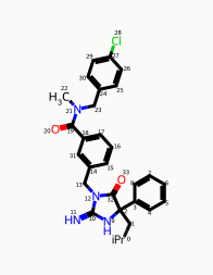 CC(C)CC1(c2ccccc2)NC(=N)N(Cc2cccc(C(=O)N(C)Cc3ccc(Cl)cc3)c2)C1=O